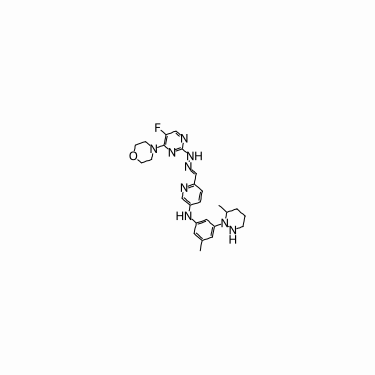 Cc1cc(Nc2ccc(/C=N/Nc3ncc(F)c(N4CCOCC4)n3)nc2)cc(N2NCCCC2C)c1